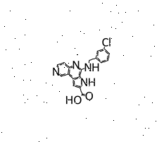 O=C(O)c1cc2c([nH]1)c(NCc1cccc(Cl)c1)nc1ccncc12